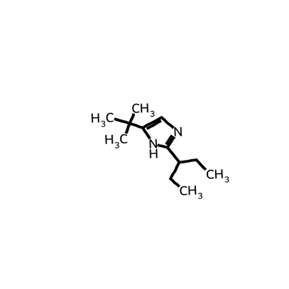 CCC(CC)c1ncc(C(C)(C)C)[nH]1